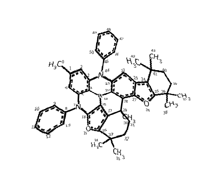 Cc1cc2c3c(c1)N(c1ccccc1)c1oc4c5c1B3c1c(cc3c6c(oc3c1C5(C)CCC4(C)C)C(C)(C)CCC6(C)C)N2c1ccccc1